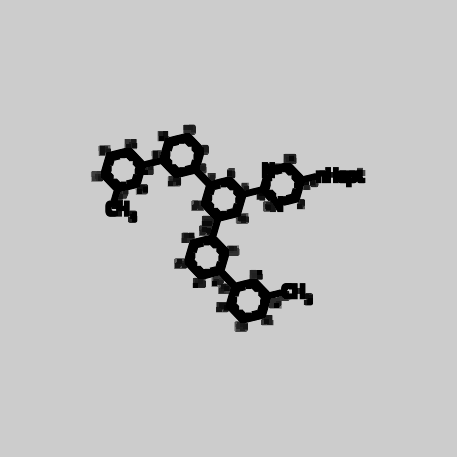 CCCCCCCc1cnc(-c2cc(-c3cccc(-c4cccc(C)c4)c3)cc(-c3cccc(-c4cccc(C)c4)c3)c2)nc1